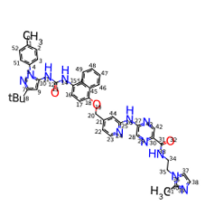 Cc1ccc(-n2nc(C(C)(C)C)cc2NC(=O)Nc2ccc(OCc3ccnc(Nc4cnc(C(=O)NCCn5ccnc5C)cn4)c3)c3ccccc23)cc1